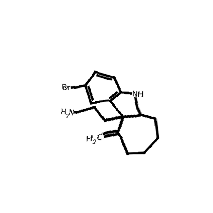 C=C1CCCCC2Nc3ccc(Br)cc3C12CCN